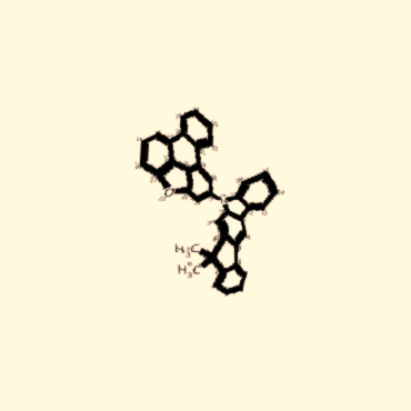 CC1(C)c2ccccc2-c2cc3c4ccccc4n(-c4cc5oc6cccc7c8ccccc8c(c4)c5c67)c3cc21